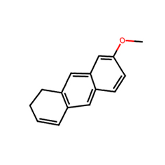 COc1ccc2cc3c(cc2c1)CCC=C3